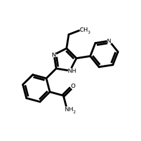 CCc1nc(-c2ccccc2C(N)=O)[nH]c1-c1cccnc1